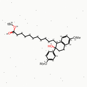 COc1ccc(C2(O)CCc3cc(OC)ccc3C2CCCCCCCCCCC(=O)OC(C)(C)C)cc1